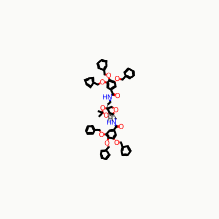 CC1(C)O[C@@H]2[C@@H](CNC(=O)c3cc(OCc4ccccc4)c(OCc4ccccc4)c(OCc4ccccc4)c3)OC[C@]2(CCNC(=O)c2cc(OCc3ccccc3)c(OCc3ccccc3)c(OCc3ccccc3)c2)O1